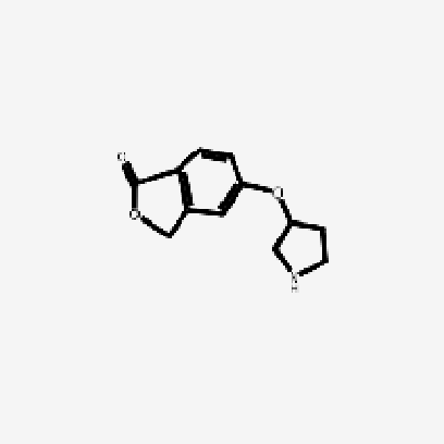 O=C1OCc2cc(OC3CCNC3)ccc21